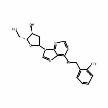 OC[C@H]1OC(n2cnc3c(NCc4ccccc4O)ncnc32)C[C@@H]1O